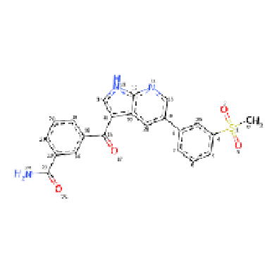 CS(=O)(=O)c1cccc(-c2cnc3[nH]cc(C(=O)c4cccc(C(N)=O)c4)c3c2)c1